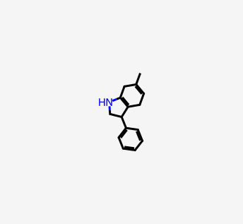 CC1=CCC2=C(C1)NCC2c1ccccc1